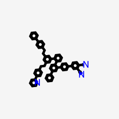 N#Cc1ccc(-c2ccc(-c3cc(-c4ccccc4)ccc3-c3ccccc3-c3cc(CCc4ccc(-c5ccccc5)cc4)cc(CCc4ccc(-c5ccccn5)cc4)c3)cc2)cc1C#N